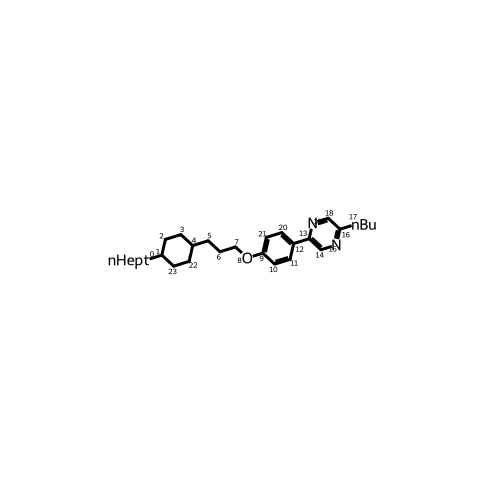 CCCCCCCC1CCC(CCCOc2ccc(-c3cnc(CCCC)cn3)cc2)CC1